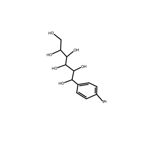 CC(C)c1ccc(C(O)C(O)C(O)C(O)C(O)CO)cc1